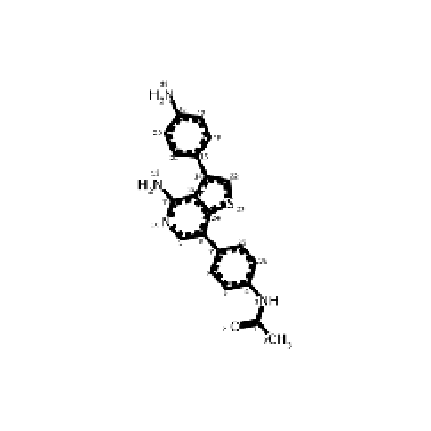 CC(=O)Nc1ccc(-c2cnc(N)c3c(-c4ccc(N)cc4)csc23)cc1